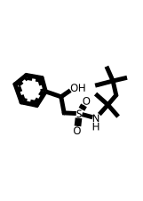 CC(C)(C)CC(C)(C)NS(=O)(=O)CC(O)c1ccccc1